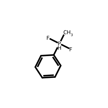 C[PH](F)(F)c1ccccc1